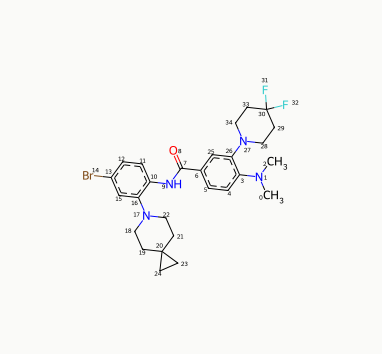 CN(C)c1ccc(C(=O)Nc2ccc(Br)cc2N2CCC3(CC2)CC3)cc1N1CCC(F)(F)CC1